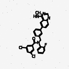 CNc1ncnc2ccc(-c3cccc(CN(C(=O)c4cc(Cl)cc(Cl)c4)c4ccccc4F)c3)cc12